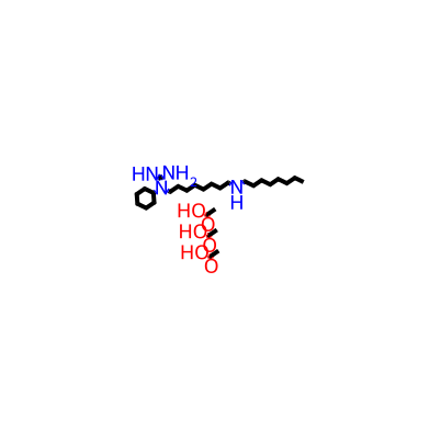 CC(=O)O.CC(=O)O.CC(=O)O.CCCCCCCCNCCCCCCCCN(C(=N)N)C1CCCCC1